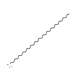 NCCCCCCCCCCCCCCCCCCCCCCCCCCCCC[Si](Cl)(Cl)Cl